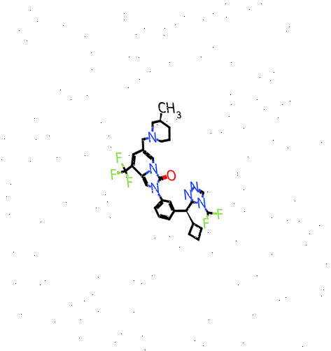 C[C@H]1CCCN(Cc2cc(C(F)(F)F)c3cn(-c4cccc([C@@H](c5nncn5C(F)F)C5CCC5)c4)c(=O)n3c2)C1